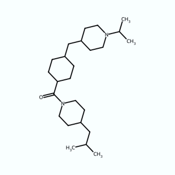 CC(C)CC1CCN(C(=O)C2CCC(CC3CCN(C(C)C)CC3)CC2)CC1